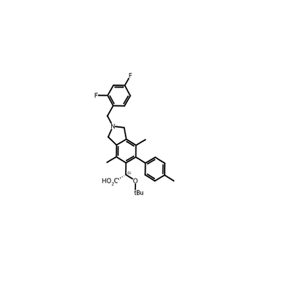 Cc1ccc(-c2c(C)c3c(c(C)c2[C@H](OC(C)(C)C)C(=O)O)CN(Cc2ccc(F)cc2F)C3)cc1